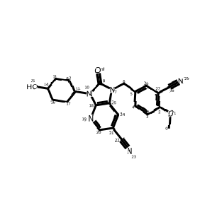 COc1ccc(Cn2c(=O)n(C3CCC(O)CC3)c3ncc(C#N)cc32)cc1C#N